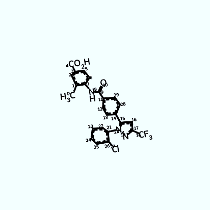 Cc1cc(C(=O)O)ccc1NC(=O)c1ccc(-c2cc(C(F)(F)F)nn2-c2ccccc2Cl)cc1